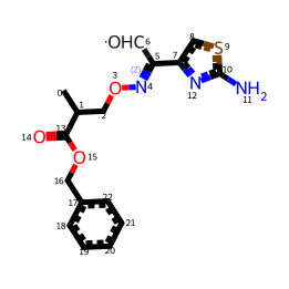 CC(CO/N=C(\[C]=O)c1csc(N)n1)C(=O)OCc1ccccc1